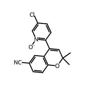 CC1(C)C=C(c2ccc(Cl)c[n+]2[O-])c2cc(C#N)ccc2O1